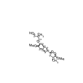 COC(=O)C(C)CC(=O)c1cc2cc(OCC(C)CO)c(OC)cc2s1